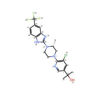 C[C@@H]1CN(c2ncc(C(C)(C)O)cc2Cl)CCN1c1nc2cc(C(F)(F)F)ccc2[nH]1